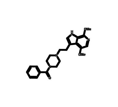 COc1ncc(OC)c2c(CCN3CCN(C(=O)c4ccccc4)CC3)c[nH]c12